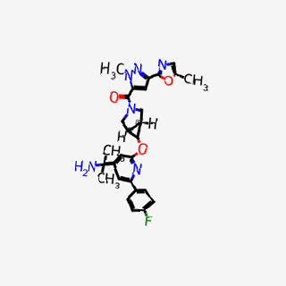 Cc1cnc(-c2cc(C(=O)N3C[C@@H]4C(Oc5cc(C(C)(C)N)cc(-c6ccc(F)cc6)n5)[C@@H]4C3)n(C)n2)o1